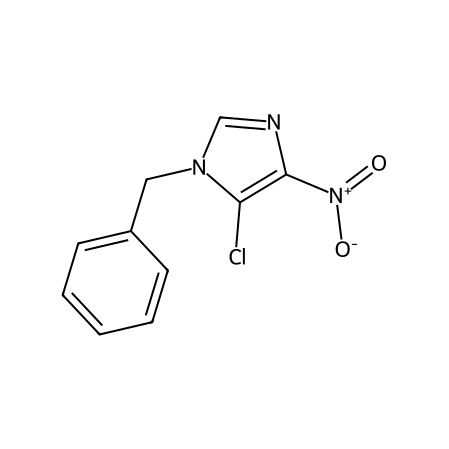 O=[N+]([O-])c1ncn(Cc2ccccc2)c1Cl